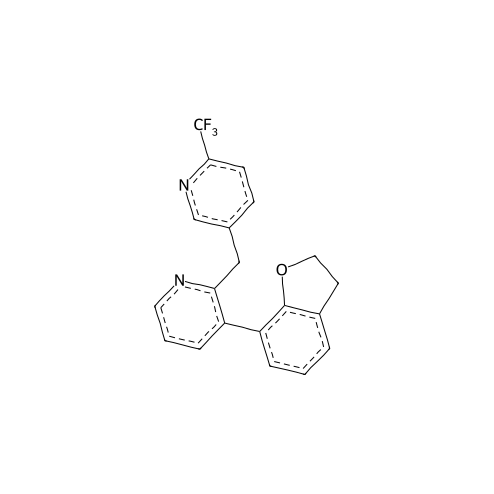 FC(F)(F)c1ccc(Cc2ncccc2-c2cccc3c2OCC3)cn1